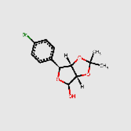 CC1(C)O[C@@H]2[C@H](O1)C(O)O[C@H]2c1ccc(Br)cc1